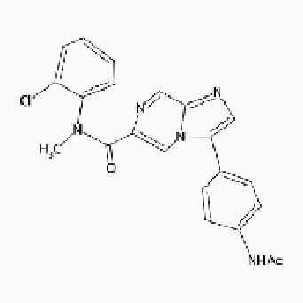 CC(=O)Nc1ccc(-c2cnc3cnc(C(=O)N(C)c4ccccc4Cl)cn23)cc1